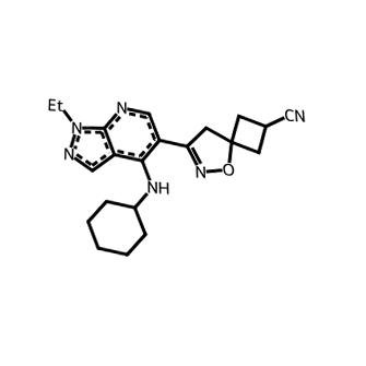 CCn1ncc2c(NC3CCCCC3)c(C3=NOC4(C3)CC(C#N)C4)cnc21